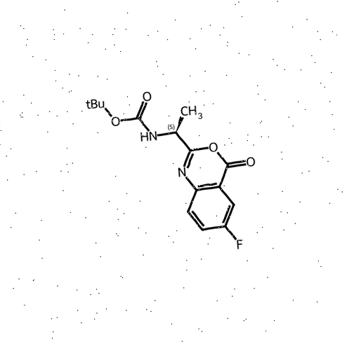 C[C@H](NC(=O)OC(C)(C)C)c1nc2ccc(F)cc2c(=O)o1